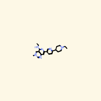 CCNc1nc(-c2ccc(C3CCN(CC)CC3)nc2)cc2c1CN(C)C=N2